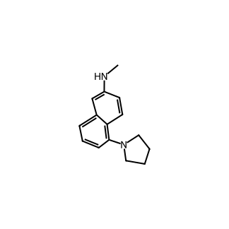 CNc1ccc2c(N3CCCC3)cccc2c1